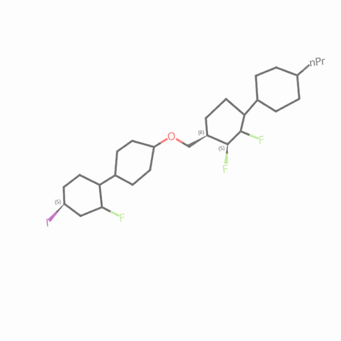 CCCC1CCC(C2CC[C@H](COC3CCC(C4CC[C@H](I)CC4F)CC3)[C@H](F)C2F)CC1